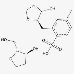 Cc1ccc(S(=O)(=O)O)c(C[C@H]2OCC[C@@H]2O)c1.OC[C@H]1OCC[C@@H]1O